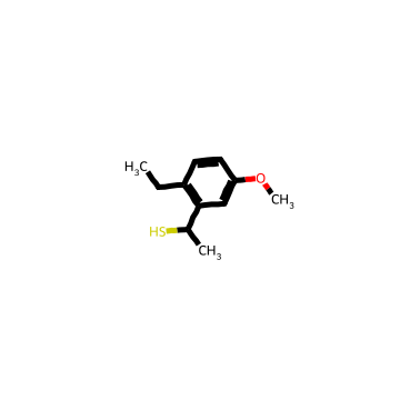 CCc1ccc(OC)cc1C(C)S